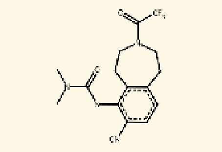 [C-]#[N+]c1ccc2c(c1SC(=O)N(C)C)CCN(C(=O)C(F)(F)F)CC2